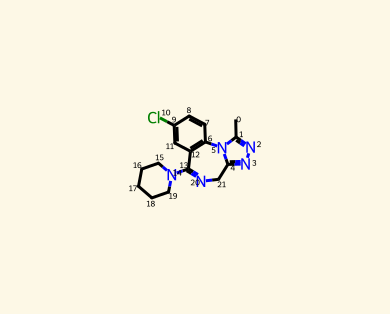 Cc1nnc2n1-c1ccc(Cl)cc1C(N1CCCCC1)=NC2